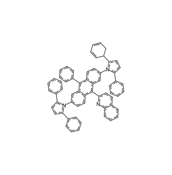 C1=CCC(c2ccc(-c3ccccc3)n2-c2ccc3c(-c4ccccc4)c4cc(-n5c(-c6ccccc6)ccc5-c5ccccc5)ccc4c(-c4ccc5ccccc5n4)c3c2)C=C1